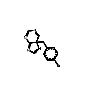 Brc1ccc(CC23C=NC=NC2=NC=N3)cc1